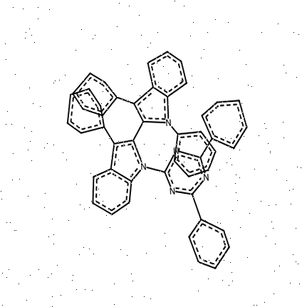 c1ccc(-c2nc(-c3ccccc3)nc(-n3c(-c4c(-c5ccccc5)c5ccccc5n4-c4ccccc4)c(-c4ccccc4)c4ccccc43)n2)cc1